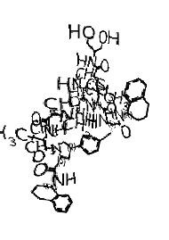 CN[C@@H](C)C(=O)NC(C(=O)N1C[C@@H](c2ccc(C[C@H](NC(=O)[C@@H](NC(=O)[C@H](C)NC)C(C)(C)SCC(=O)NC(CO)CO)C(=O)N[C@@H]3CCCc4ccccc43)cc2)C[C@H]1C(=O)N[C@@H]1CCCc2ccccc21)C(C)(C)C